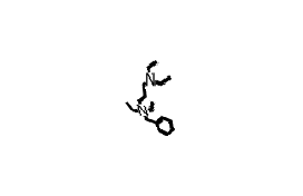 CCN(CC)CCC[N+](CC)(CC)Cc1ccccc1